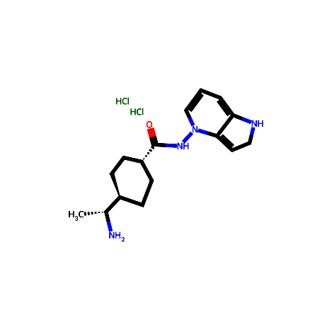 C[C@@H](N)[C@H]1CC[C@H](C(=O)NN2C=CC=C3NCC=C32)CC1.Cl.Cl